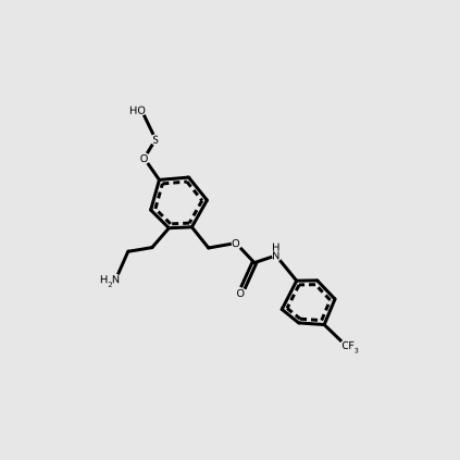 NCCc1cc(OSO)ccc1COC(=O)Nc1ccc(C(F)(F)F)cc1